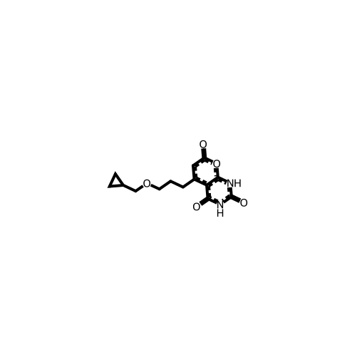 O=c1[nH]c(=O)c2c(CCCOCC3CC3)cc(=O)oc2[nH]1